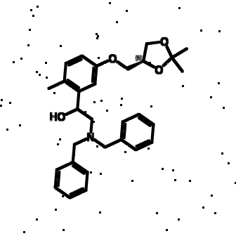 Cc1ccc(OC[C@H]2COC(C)(C)O2)cc1C(O)CN(Cc1ccccc1)Cc1ccccc1